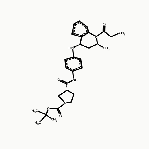 CCC(=O)N1c2ccccc2[C@H](Nc2ccc(NC(=O)[C@@H]3CCN(C(=O)OC(C)(C)C)C3)cc2)C[C@@H]1C